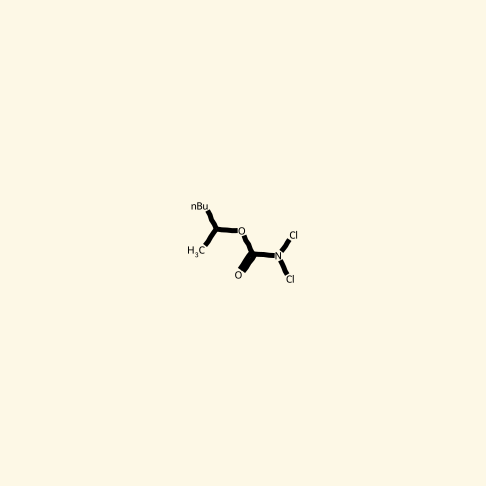 CCCCC(C)OC(=O)N(Cl)Cl